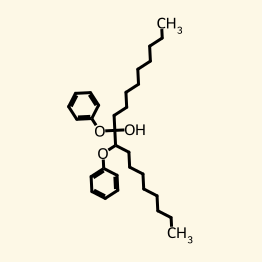 CCCCCCCCCC(O)(Oc1ccccc1)C(CCCCCCCC)Oc1ccccc1